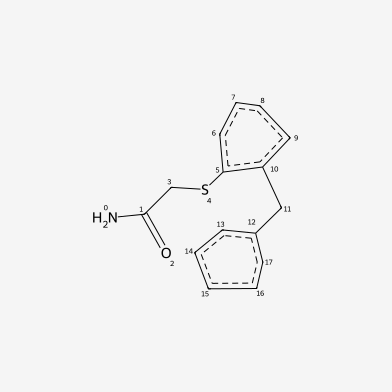 NC(=O)CSc1ccccc1Cc1ccccc1